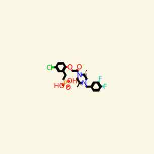 C[C@@H]1CN(Cc2ccc(F)c(F)c2)[C@@H](C)CN1C(=O)COc1ccc(Cl)cc1CCP(=O)(O)O